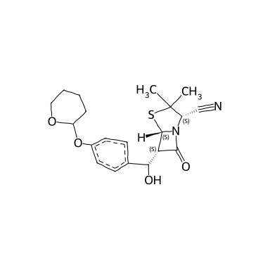 CC1(C)S[C@H]2[C@@H](C(O)c3ccc(OC4CCCCO4)cc3)C(=O)N2[C@H]1C#N